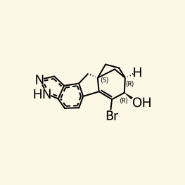 O[C@H]1C(Br)=C2c3ccc4[nH]ncc4c3C[C@@]23CC[C@@H]1C3